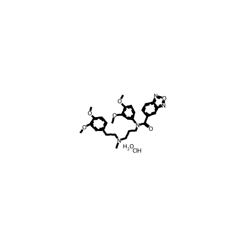 COc1ccc(CCN(C)CCCN(C(=O)c2ccc3nonc3c2)c2ccc(OC)c(OC)c2)cc1OC.Cl.O